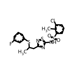 Cc1c(Cl)cccc1S(=O)(=O)Nc1nc(CC(C)Sc2cccc(F)c2)ns1